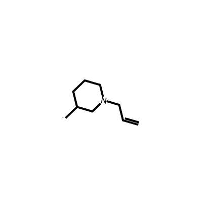 [CH2]C1CCCN(CC=C)C1